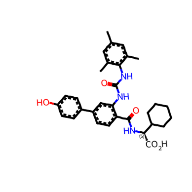 Cc1cc(C)c(NC(=O)Nc2cc(-c3ccc(O)cc3)ccc2C(=O)N[C@H](C(=O)O)C2CCCCC2)c(C)c1